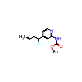 C=CCC(F)c1ccnc(NC(=O)OC(C)(C)C)c1